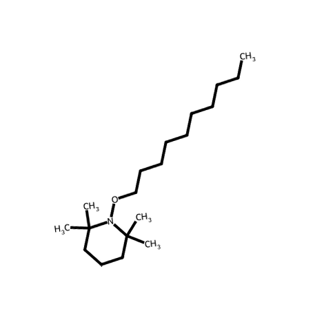 CCCCCCCCCCON1C(C)(C)C[CH]CC1(C)C